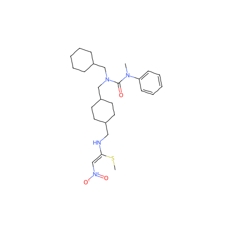 CSC(=C[N+](=O)[O-])NCC1CCC(CN(CC2CCCCC2)C(=O)N(C)c2ccccc2)CC1